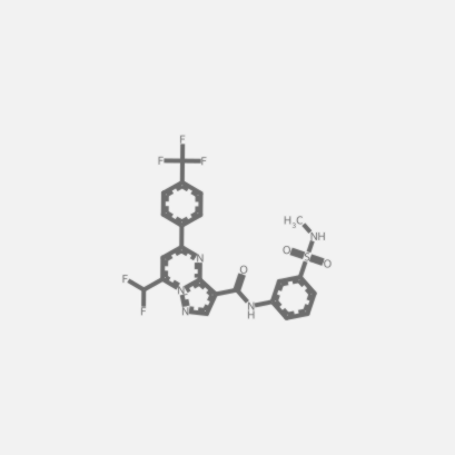 CNS(=O)(=O)c1cccc(NC(=O)c2cnn3c(C(F)F)cc(-c4ccc(C(F)(F)F)cc4)nc23)c1